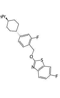 CCC[C@H]1CC[C@H](c2ccc(COc3nc4ccc(F)cc4s3)c(F)c2)CC1